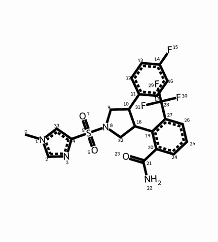 Cn1cnc(S(=O)(=O)N2CC(c3ccc(F)cc3)C(c3c(C(N)=O)cccc3C(F)(F)F)C2)c1